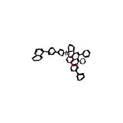 c1ccc(-c2ccc(-c3ccc(N(c4ccc(-c5ccc(-c6cccc7ccccc67)cc5)cc4)c4ccccc4-c4cc5c6c(cccc6c4)Oc4ccccc4-5)cc3)cc2)cc1